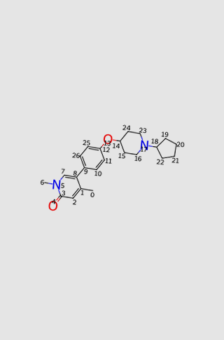 Cc1cc(=O)n(C)cc1-c1ccc(OC2CCN(C3CCCC3)CC2)cc1